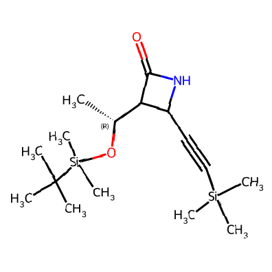 C[C@@H](O[Si](C)(C)C(C)(C)C)C1C(=O)NC1C#C[Si](C)(C)C